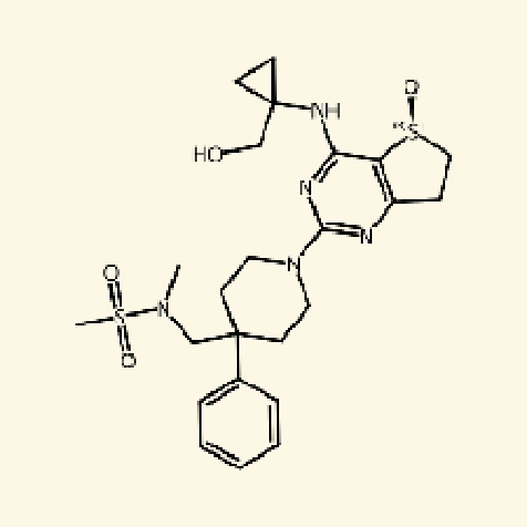 CN(CC1(c2ccccc2)CCN(c2nc3c(c(NC4(CO)CC4)n2)[S@@+]([O-])CC3)CC1)S(C)(=O)=O